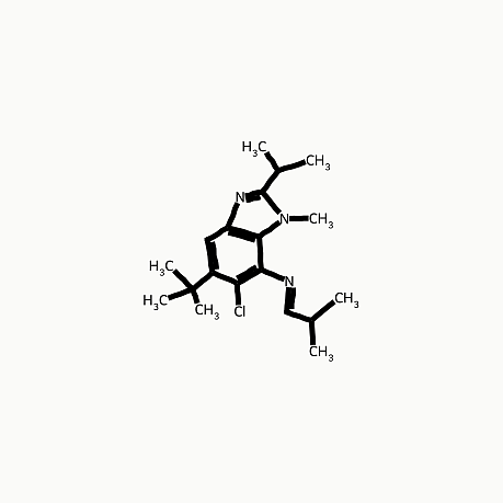 CC(C)C=Nc1c(Cl)c(C(C)(C)C)cc2nc(C(C)C)n(C)c12